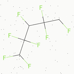 FCC(F)(F)C(F)C(F)(F)[C](F)F